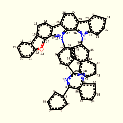 c1ccc(-c2nc(-c3ccc(-n4c5c(ccc6c7ccccc7oc65)c5ccc6c7ccccc7n(-c7ccc8ccccc8c7)c6c54)cc3)nc3ccccc23)cc1